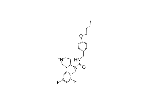 CCCCOc1ccc(CNC(=O)N(Cc2ccc(F)cc2F)C2CCN(C)CC2)cc1